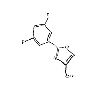 Oc1coc(-c2cc(F)cc(F)c2)n1